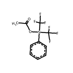 CC(=O)O[Si](c1ccccc1)(C(F)(F)F)C(F)(F)F